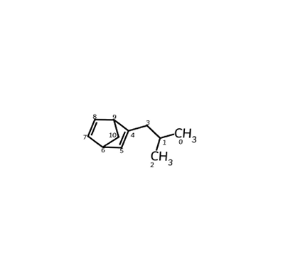 CC(C)CC1=CC2C=CC1C2